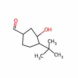 CC(C)(C)C1CCC(C=O)CC1O